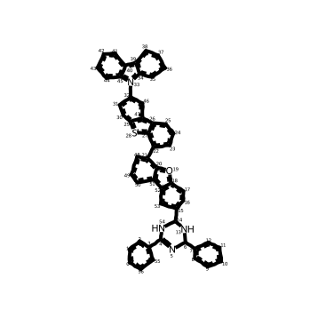 c1ccc(C2=NC(c3ccccc3)NC(c3ccc4oc5c(-c6cccc7c6sc6ccc(-n8c9ccccc9c9ccccc98)cc67)cccc5c4c3)N2)cc1